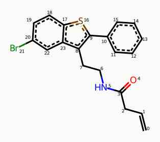 C=CCC(=O)NCCc1c(-c2ccccc2)sc2ccc(Br)cc12